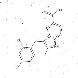 Cc1[nH]c2ccc(C(=O)O)nc2c1Cc1ccc(Cl)cc1Cl